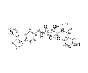 COC[C@@H]1CCCN1c1ccc(CNC(=O)[C@H](O)[C@@H](O)C(=O)N2CCC[C@@H]2c2cccc(Cl)c2)cc1